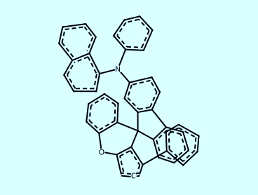 c1ccc(-c2cccc3c2C2(c4ccccc4O3)c3ccccc3-c3ccc(N(c4ccccc4)c4cccc5ccccc45)cc32)cc1